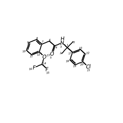 CC(C)(NC(=O)Cc1ccccc1OC(F)F)c1ccc(Cl)cc1